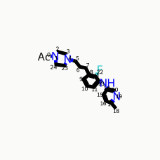 CC(=O)N1CCN(CCCc2cccc(Nc3ccc(C)nc3)c2F)CC1